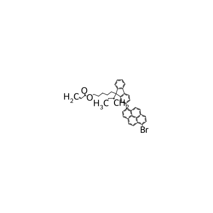 C=CC(=O)OCCCCCC1(C(=C)CC)c2ccccc2-c2ccc(-c3ccc4ccc5c(Br)ccc6ccc3c4c65)cc21